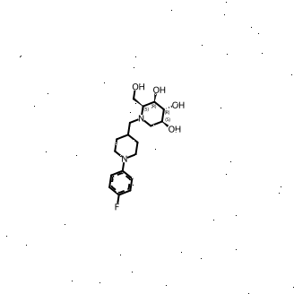 OC[C@H]1[C@@H](O)[C@H](O)[C@@H](O)CN1CC1CCN(c2ccc(F)cc2)CC1